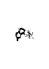 Cc1ccc2nccc(OS(=O)(=O)C(F)(F)F)c2c1